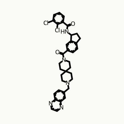 O=C(NC1CCc2ccc(C(=O)N3CCC4(CCN(Cc5ccc6nccnc6c5)CC4)CC3)cc21)c1cccc(Cl)c1Cl